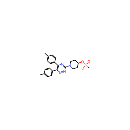 Cc1ccc(-c2nnc(N3CCC(OS(C)(=O)=O)CC3)nc2-c2ccc(C)cc2)cc1